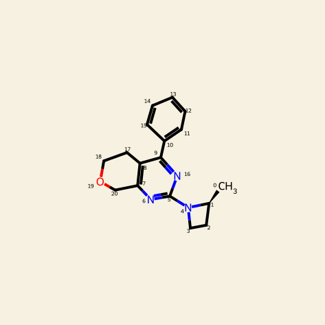 C[C@H]1CCN1c1nc2c(c(-c3ccccc3)n1)CCOC2